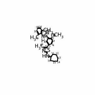 COc1ccc(-c2sc(NC3CCCCCC3)nc2C)cc1[S+]([O-])Nc1c(C)cccc1C